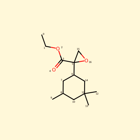 CCOC(=O)C1(C2CC(C)CC(C)(C)C2)CO1